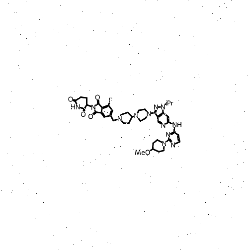 COC1CCN(c2nccc(Nc3cc4c(cn3)c(N3CCN(C5CCN(Cc6cc(F)c7c(c6)C(=O)N(C6CCC(=O)NC6=O)C7=O)CC5)CC3)nn4C(C)C)n2)CC1